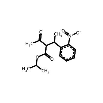 CC(=O)C(C(=O)OC(C)C)C(C)c1ccccc1[N+](=O)[O-]